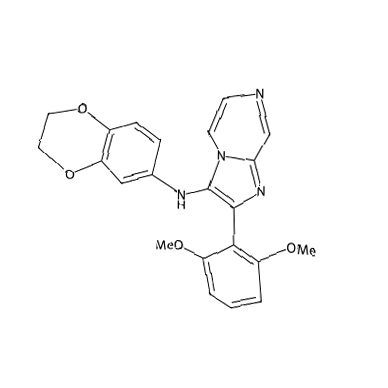 COc1cccc(OC)c1-c1nc2cnccn2c1Nc1ccc2c(c1)OCCO2